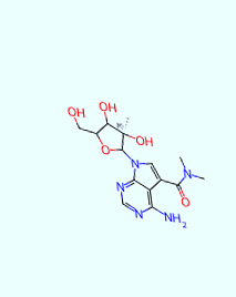 CN(C)C(=O)c1cn(C2OC(CO)C(O)[C@@]2(C)O)c2ncnc(N)c12